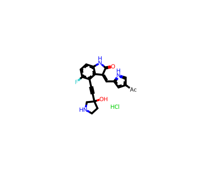 CC(=O)c1c[nH]c(C=C2C(=O)Nc3ccc(F)c(C#CC4(O)CCNC4)c32)c1.Cl